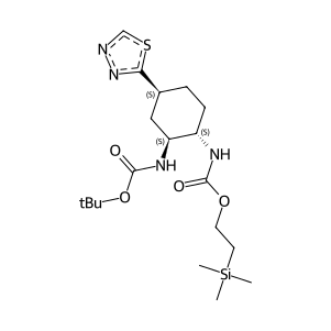 CC(C)(C)OC(=O)N[C@H]1C[C@@H](c2nncs2)CC[C@@H]1NC(=O)OCC[Si](C)(C)C